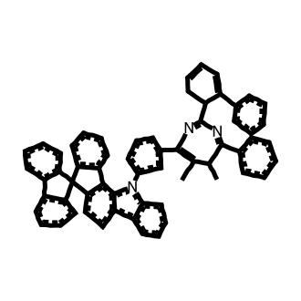 CC1=C(c2cccc(-n3c4ccccc4c4ccc5c(c43)-c3ccccc3C53c4ccccc4-c4ccccc43)c2)N=C(C2CC=CC=C2c2ccccc2)N=C(c2ccccc2)C1C